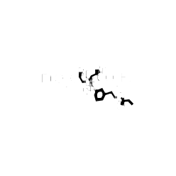 C=CC(=O)OCCc1cccc(S(=O)(=O)N(C[C@@H](Br)C(=O)OCC)C[C@H](Br)C(=O)OCC)c1